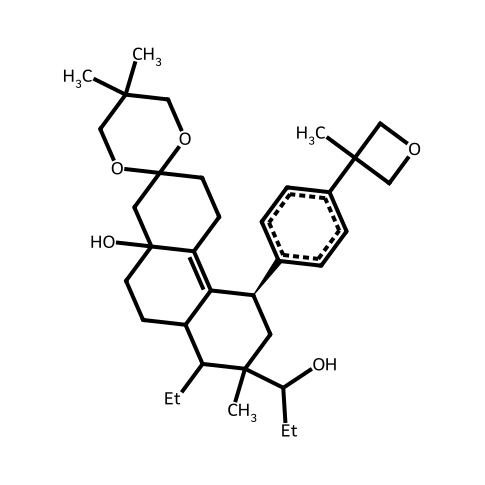 CCC(O)C1(C)C[C@H](c2ccc(C3(C)COC3)cc2)C2=C3CCC4(CC3(O)CCC2C1CC)OCC(C)(C)CO4